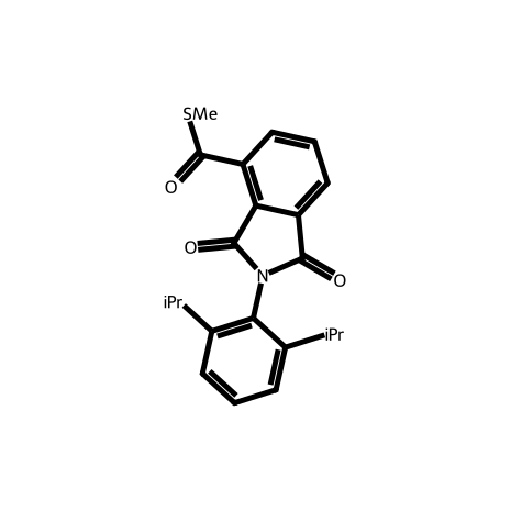 CSC(=O)c1cccc2c1C(=O)N(c1c(C(C)C)cccc1C(C)C)C2=O